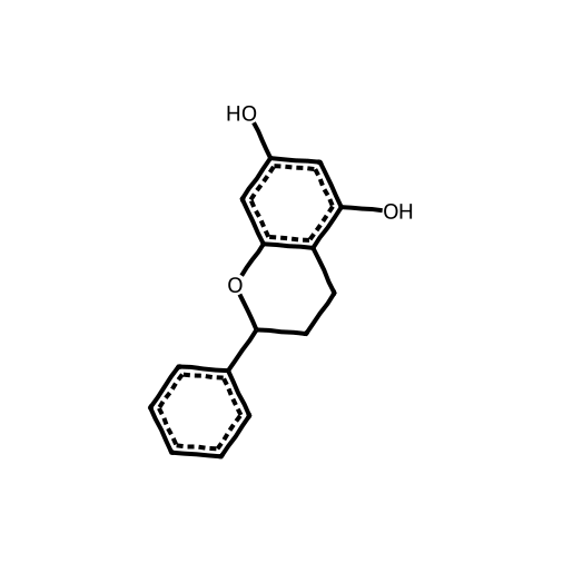 Oc1cc(O)c2c(c1)OC(c1ccccc1)CC2